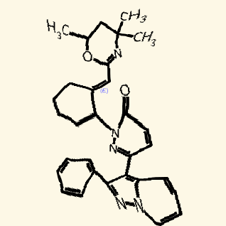 CC1CC(C)(C)N=C(/C=C2\CCCCC2n2nc(-c3c(-c4ccccc4)nn4ccccc34)ccc2=O)O1